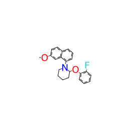 [O]c1ccc2cccc(N3CCCCC3Oc3ccccc3F)c2c1